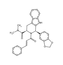 CN(C)C(=O)[C@H]1Cc2c([nH]c3ccccc23)[C@@H](c2ccc3c(c2)OCO3)N1C(=O)/C=C/c1ccccc1